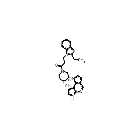 CCc1nc2ccccc2n1CCC(=O)N1CC[C@@H](C)[C@@H](n2ccc3cnc4[nH]ccc4c32)C1